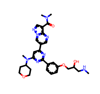 CNCC(O)COc1cccc(-c2nc(-c3cnc4c(C(=O)N(C)C)cnn4c3)cc(N(C)C3CCOCC3)n2)c1